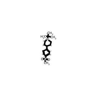 CC(C)(C)N1CCC(c2ccc(S(C)(=O)=O)cc2)CC1